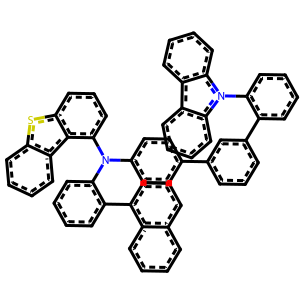 c1cc(-c2ccc(N(c3ccccc3-c3cccc4ccccc34)c3cccc4sc5ccccc5c34)cc2)cc(-c2ccccc2-n2c3ccccc3c3ccccc32)c1